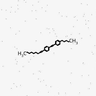 CCCCCCCC#Cc1ccc(C#Cc2ccc(CCCCC)cc2)cc1